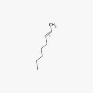 C/C=C/CCCCI